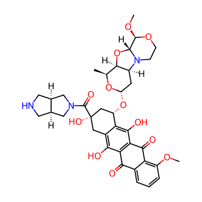 COc1cccc2c1C(=O)c1c(O)c3c(c(O)c1C2=O)C[C@@](O)(C(=O)N1C[C@H]2CNC[C@H]2C1)C[C@@H]3O[C@H]1C[C@H]2[C@H](O[C@@H]3[C@@H](OC)OCCN32)[C@H](C)O1